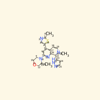 Cc1ncc(-c2cc(N3CCOC[C@H]3C)nc3c2C=CN(C)C3c2ccn[nH]2)s1